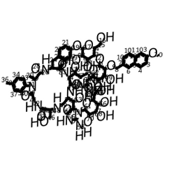 COc1ccc2cc(COC3C(OC4C(CO)OC(Oc5ccc(CC6NC(=O)C(C)N(c7ccc(C)cc7)C(=O)CNC(=O)C(CO)NC(=O)C(C(O)C7CNC(=N)N7C7OC(CO)C(O)C(O)C7O)NC(=O)C(C(O)C7CNC(=N)N7)NC6=O)cc5)C(O)C4O)OC(CO)C(O)C3O)ccc2c1